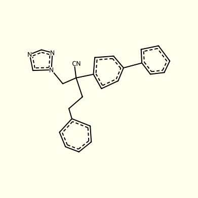 N#CC(CCc1ccccc1)(Cn1cncn1)c1ccc(-c2ccccc2)cc1